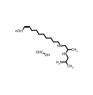 CCCCCCCC/C=C\CCCCCCCCNCC(C)NCC(C)N.O=CO